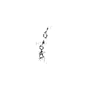 Cc1cc(N)cc2nc(-c3ccc(NC(=O)COC4CCN(CCCC(F)(F)F)CC4)cc3)oc12